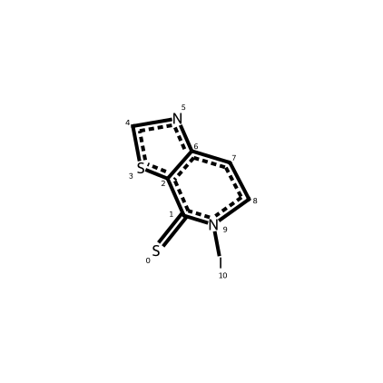 S=c1c2scnc2ccn1I